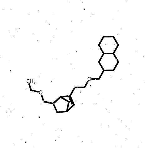 CCOCC1CC2C=C(CCOCC3CCC4CCCCC4C3)C1C2